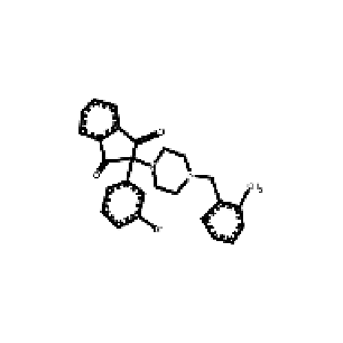 Cc1ccccc1CN1CCN(C2(c3cccc(Br)c3)C(=O)c3ccccc3C2=O)CC1